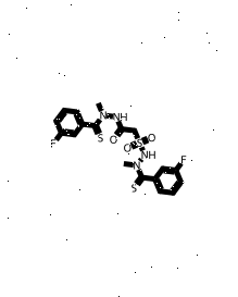 CN(NC(=O)CS(=O)(=O)NN(C)C(=S)c1cccc(F)c1)C(=S)c1cccc(F)c1